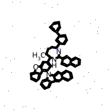 CC1CC/C(c2cccc(-c3ccccc3)c2)=N\C(c2ccc3ccccc3c2)NC1c1cc(-n2c3ccccc3c3cc4ccccc4cc32)c2c(c1)oc1ccccc12